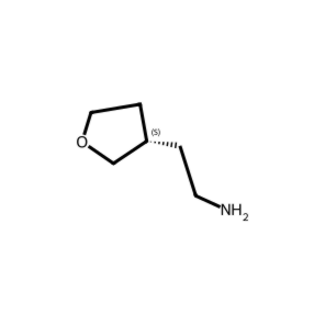 NCC[C@H]1CCOC1